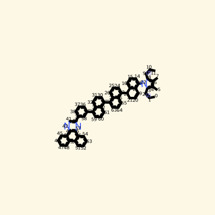 C/C=C\c1c(C)c(C)c(/C=C\C)n1-c1cccc2c1C=CCC2c1cccc2c(-c3cccc4c(-c5cccc(-c6cnc7c8ccccc8c8ccccc8c7n6)c5)cccc34)cccc12